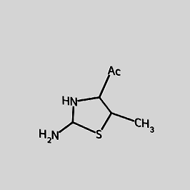 CC(=O)C1NC(N)SC1C